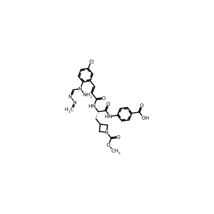 C=N/N=C\N(N)c1ccc(Cl)cc1/C=C/C(=O)N[C@@H](CC1CN(C(=O)OC)C1)C(=O)Nc1ccc(C(=O)O)cc1